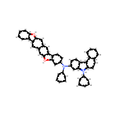 c1ccc(N(c2ccc3c(c2)oc2cc4cc5c(cc4cc23)oc2ccccc25)c2ccc3c4c5ccccc5ccc4n(-c4ccccc4)c3c2)cc1